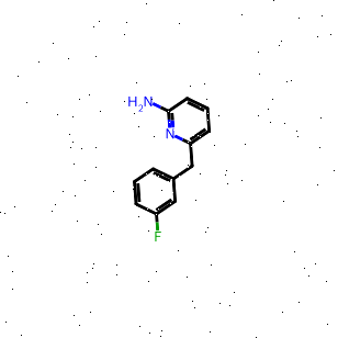 Nc1cccc(Cc2cccc(F)c2)n1